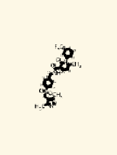 Cc1noc(C)c1CS(=O)(=O)c1ccc(CNC(=O)c2ccc(C)n(-c3cccc(C(F)(F)F)c3)c2=O)cc1